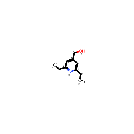 CCc1cc(CO)cc(CC)n1